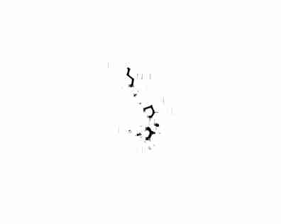 CCC[C@H](N)C(=O)NC(=O)OC[C@H]1O[C@@H](n2cnc3c(NO)nc(SC)nc32)[C@H](O)[C@@H]1O